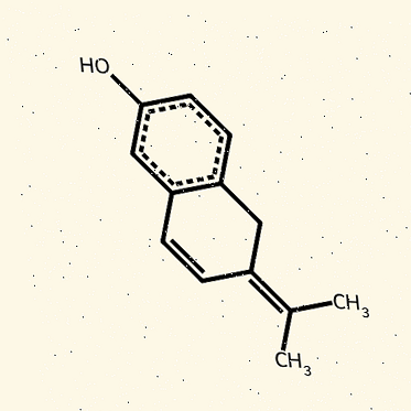 CC(C)=C1C=Cc2cc(O)ccc2C1